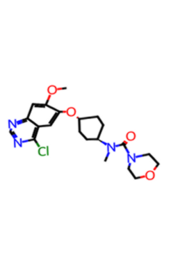 COc1cc2ncnc(Cl)c2cc1O[C@H]1CC[C@H](N(C)C(=O)N2CCOCC2)CC1